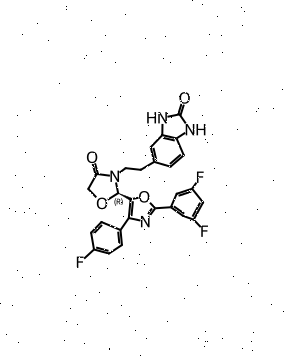 O=C1CO[C@H](c2oc(-c3cc(F)cc(F)c3)nc2-c2ccc(F)cc2)N1CCc1ccc2[nH]c(=O)[nH]c2c1